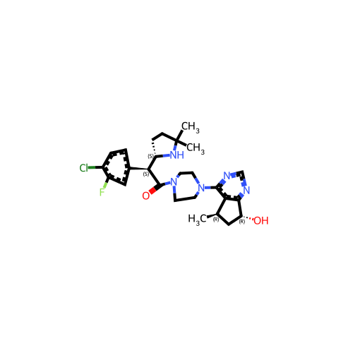 C[C@@H]1C[C@@H](O)c2ncnc(N3CCN(C(=O)[C@@H](c4ccc(Cl)c(F)c4)[C@@H]4CCC(C)(C)N4)CC3)c21